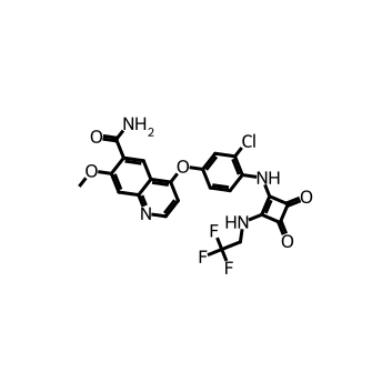 COc1cc2nccc(Oc3ccc(Nc4c(NCC(F)(F)F)c(=O)c4=O)c(Cl)c3)c2cc1C(N)=O